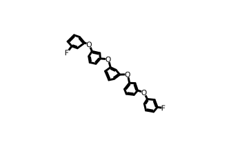 Fc1cccc(Oc2cccc(Oc3cccc(Oc4cccc(Oc5cccc(F)c5)c4)c3)c2)c1